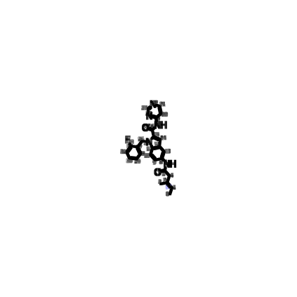 C/C=C(\C)CC(=O)Nc1ccc2c(c1)cc(C(=O)Nc1ccncn1)n2Cc1ccccc1F